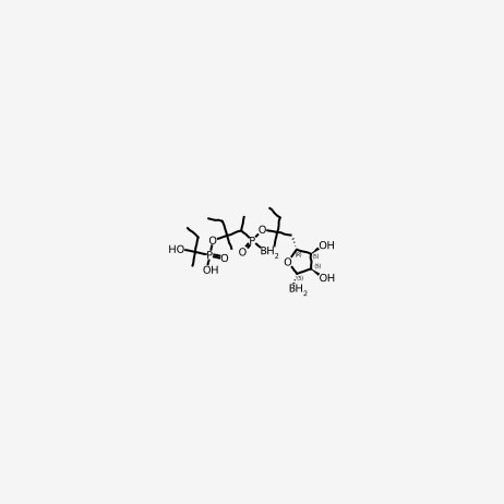 B[C@@H]1O[C@H](CC(C)(CC)OP(B)(=O)C(C)C(C)(CC)OP(=O)(O)C(C)(O)CC)[C@@H](O)[C@H]1O